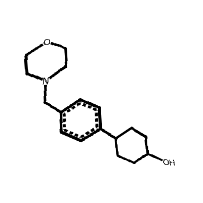 OC1CCC(c2ccc(CN3CCOCC3)cc2)CC1